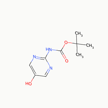 CC(C)(C)OC(=O)Nc1ncc(O)cn1